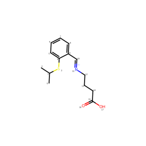 CC(C)Sc1ccccc1/C=N/CCCC(=O)O